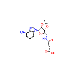 CC1(C)OC2C(CNC(=O)CCC(=O)O)OC(n3cnc4c(N)cccc43)C2O1